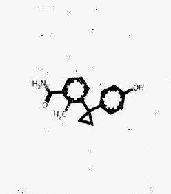 Cc1c(C(N)=O)cccc1C1(c2ccc(O)cc2)CC1